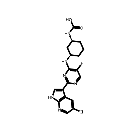 O=C(O)N[C@H]1CCC[C@@H](Nc2nc(-c3c[nH]c4ncc(Cl)cc34)ncc2F)C1